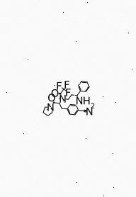 N#Cc1ccc(CC(C(=O)N2CCCC2)N(CCC(N)c2ccccc2)C(=O)C(F)(F)F)cc1